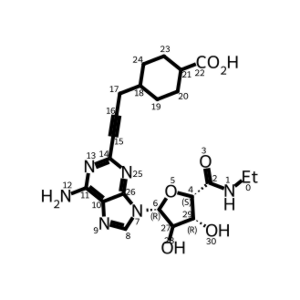 CCNC(=O)[C@H]1O[C@@H](n2cnc3c(N)nc(C#CCC4CCC(C(=O)O)CC4)nc32)C(O)[C@H]1O